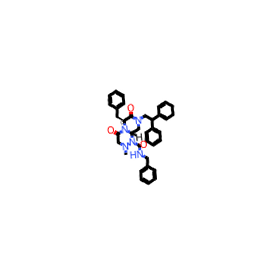 CN1CC(=O)N2[C@@H](Cc3ccccc3)C(=O)N(CC(C3=CCCC=C3)c3ccccc3)C[C@@H]2N1C(=O)NCc1ccccc1